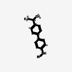 CC(C)Nc1ccc(-c2ccc(C(C)N)cc2)cc1